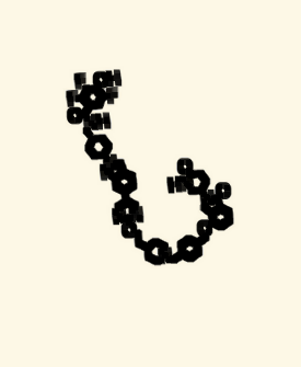 O=C1CCC(N2Cc3c(OCc4ccc(CN5CCC(CCOc6ncc(-c7ccc8cn([C@H]9CC[C@H](CNC(=O)c%10cc(F)c(O)c(F)c%10F)CC9)nc8c7)cn6)CC5)cc4)cccc3C2=O)CN1